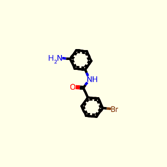 Nc1cccc(NC(=O)c2cccc(Br)c2)c1